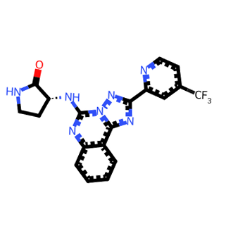 O=C1NCC[C@H]1Nc1nc2ccccc2c2nc(-c3cc(C(F)(F)F)ccn3)nn12